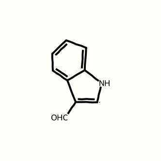 O=Cc1[c][nH]c2ccccc12